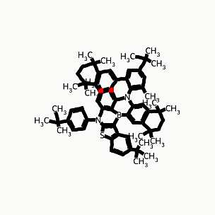 Cc1cc2c3c(c1)N(c1c(C)cc(C(C)(C)C)cc1-c1ccc4c(c1)C(C)(C)CCC4(C)C)c1cc4c(cc1B3c1c(sc3ccc(C(C)(C)C)cc13)N2c1ccc(C(C)(C)C)cc1)C(C)(C)CCC4(C)C